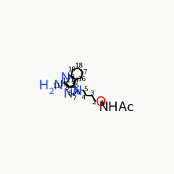 CC(=O)NOCCCCn1cnc2c(N)nc3c(c21)CCCC3